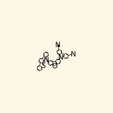 N#Cc1ccc2c(c1)c1cc(C#N)ccc1n2-c1ccc2oc3ccc(-n4c5ccccc5c5ccc6c7ccccc7sc6c54)cc3c2c1